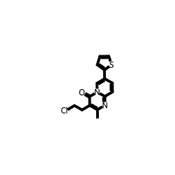 Cc1nc2ccc(-c3cccs3)cn2c(=O)c1CCCl